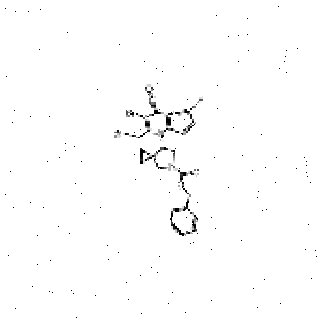 O=C=C1C(Br)=C(CBr)N([C@@H]2CN(C(=O)OCc3ccccc3)CC23CC3)c2ccc(F)cc21